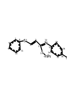 CCCSC(C=CSc1ccccc1)=Nc1ccc(C)cc1